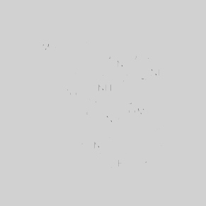 COc1ccc(N2CC3CC2CN3)c(NC(=O)c2ccnc(-c3c(F)cccc3OC)n2)c1